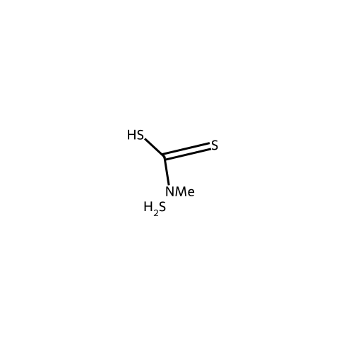 CNC(=S)S.S